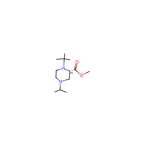 COC(=O)[C@@H]1CN(C(C)C)CCN1C(C)(C)C